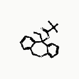 CCC1(OC(=O)C(C)(C)C)c2ccccc2CSc2ccccc21